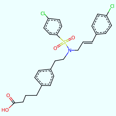 O=C(O)CCCc1ccc(CCN(CC=Cc2ccc(Cl)cc2)S(=O)(=O)c2ccc(Cl)cc2)cc1